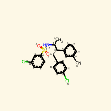 C[C@H](NS(=O)(=O)c1cccc(Cl)c1)[C@@H](Cc1ccc(Cl)cc1)c1cccc(C#N)c1